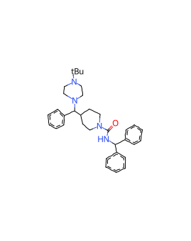 CC(C)(C)N1CCN(C(c2ccccc2)C2CCN(C(=O)NC(c3ccccc3)c3ccccc3)CC2)CC1